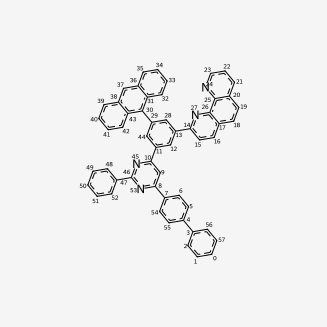 c1ccc(-c2ccc(-c3cc(-c4cc(-c5ccc6ccc7cccnc7c6n5)cc(-c5c6ccccc6cc6ccccc56)c4)nc(-c4ccccc4)n3)cc2)cc1